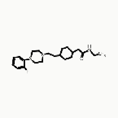 O=C(CC1CCC(CCN2CCN(c3ccccc3F)CC2)CC1)NCC(F)(F)F